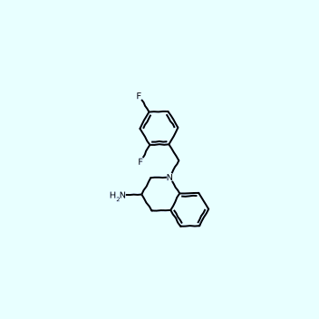 NC1Cc2ccccc2N(Cc2ccc(F)cc2F)C1